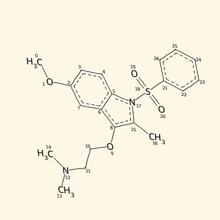 COc1ccc2c(c1)c(OCCN(C)C)c(C)n2S(=O)(=O)c1ccccc1